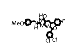 COc1ccc(CNc2nc3c(c(=O)[nH]2)CC(c2ccc(F)cc2)N(C(=O)c2ccc(Cl)c(Cl)c2)C3)cc1